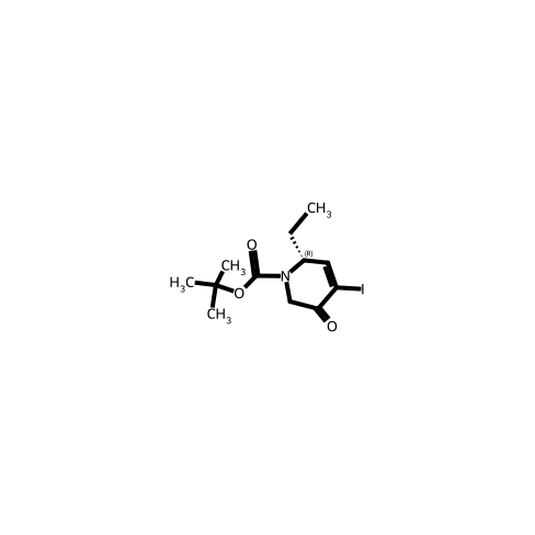 CC[C@@H]1C=C(I)C(=O)CN1C(=O)OC(C)(C)C